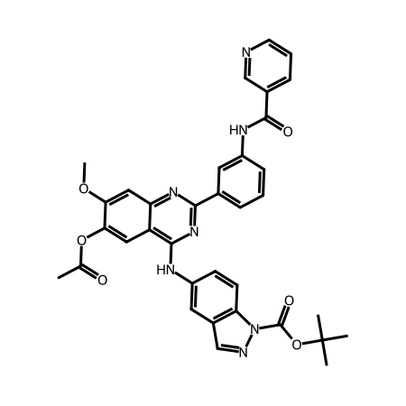 COc1cc2nc(-c3cccc(NC(=O)c4cccnc4)c3)nc(Nc3ccc4c(cnn4C(=O)OC(C)(C)C)c3)c2cc1OC(C)=O